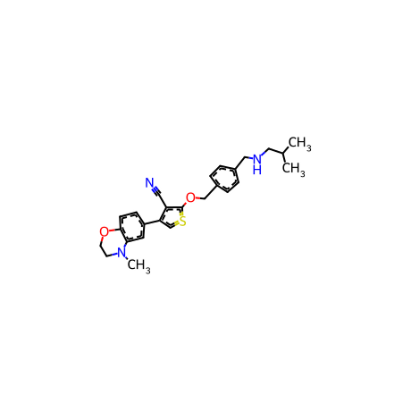 CC(C)CNCc1ccc(COc2scc(-c3ccc4c(c3)N(C)CCO4)c2C#N)cc1